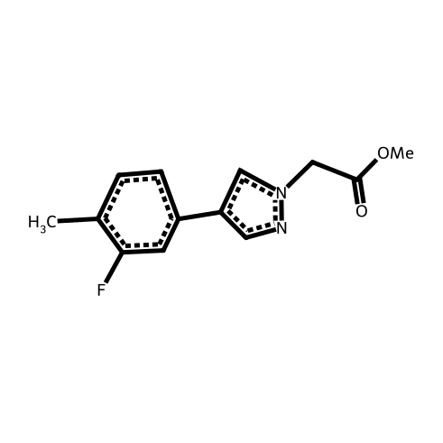 COC(=O)Cn1cc(-c2ccc(C)c(F)c2)cn1